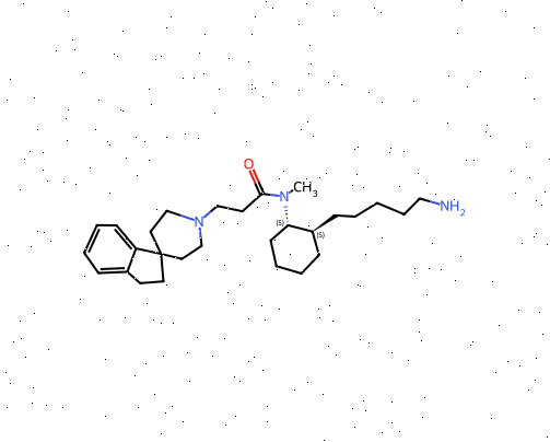 CN(C(=O)CCN1CCC2(CCc3ccccc32)CC1)[C@H]1CCCC[C@@H]1CCCCCN